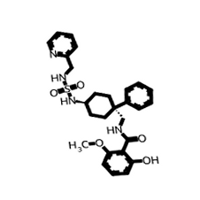 COc1cccc(O)c1C(=O)NC[C@]1(c2ccccc2)CC[C@@H](NS(=O)(=O)NCc2ccccn2)CC1